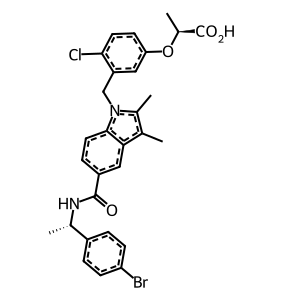 Cc1c(C)n(Cc2cc(O[C@@H](C)C(=O)O)ccc2Cl)c2ccc(C(=O)N[C@@H](C)c3ccc(Br)cc3)cc12